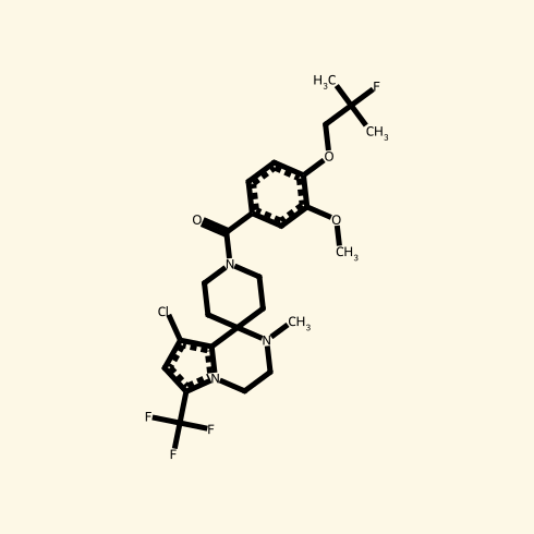 COc1cc(C(=O)N2CCC3(CC2)c2c(Cl)cc(C(F)(F)F)n2CCN3C)ccc1OCC(C)(C)F